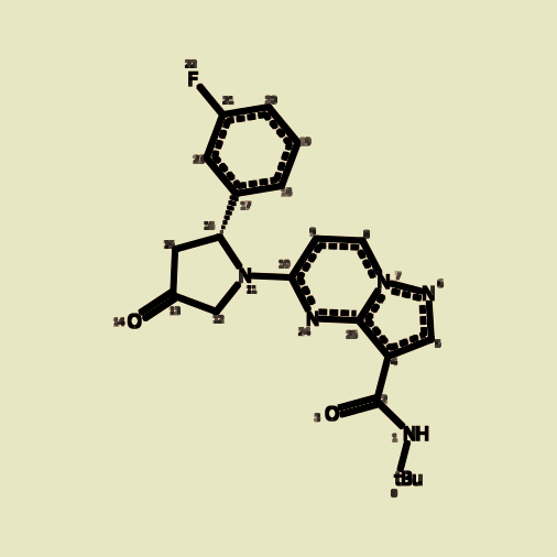 CC(C)(C)NC(=O)c1cnn2ccc(N3CC(=O)C[C@@H]3c3cccc(F)c3)nc12